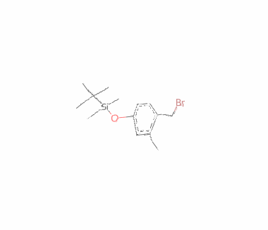 Cc1cc(O[Si](C)(C)C(C)(C)C)ccc1CBr